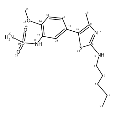 CCCCCNc1nc(C)c(-c2ccc(OC)c(NS(N)(=O)=O)c2)s1